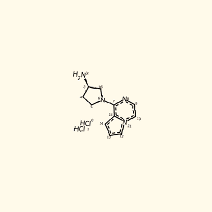 Cl.Cl.N[C@@H]1CCN(c2nccn3cccc23)C1